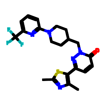 Cc1nc(C)c(-c2ccc(=O)n(CC3CCN(c4cccc(C(F)(F)F)n4)CC3)n2)s1